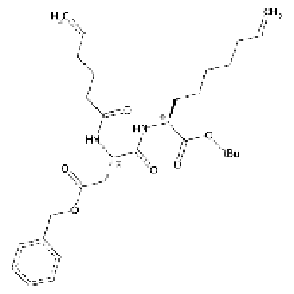 C=CCCCCC[C@H](NC(=O)[C@H](CC(=O)OCc1ccccc1)NC(=O)CCCC=C)C(=O)OC(C)(C)C